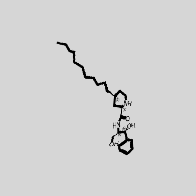 CCCCCCCCCCC[C@H]1CCN[C@@H](C(=O)N[C@H](CO)[C@@H](O)c2ccccc2)C1